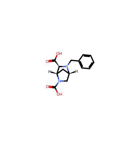 O=C(O)[C@@H]1[C@@H]2C[C@@H](CN2C(=O)O)N1Cc1ccccc1